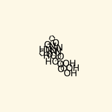 O=C(Nc1nc2c(ncn2[C@@H]2O[C@H](CO[C@@H]3OC[C@@H](O)[C@@H](O)[C@H]3O)[C@@H](O)[C@H]2O)c(=O)n1C(=O)c1ccccc1)c1ccccc1